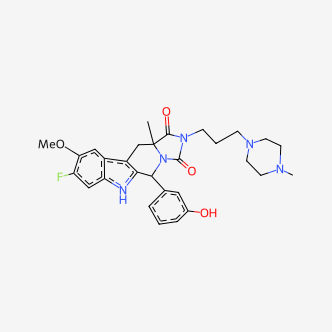 COc1cc2c3c([nH]c2cc1F)C(c1cccc(O)c1)N1C(=O)N(CCCN2CCN(C)CC2)C(=O)C1(C)C3